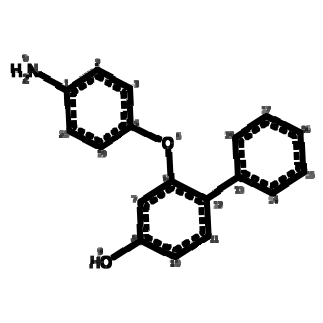 Nc1ccc(Oc2cc(O)ccc2-c2ccccc2)cc1